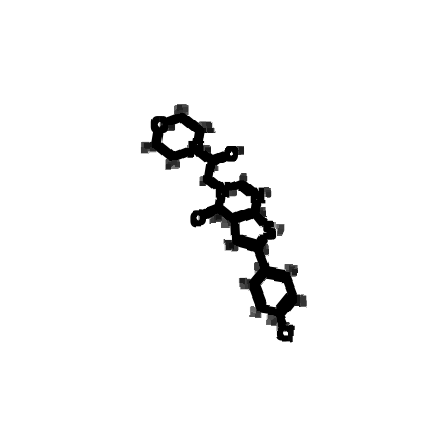 O=C(Cn1cnc2sc(-c3ccc(Cl)cc3)cc2c1=O)N1CCOCC1